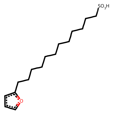 O=S(=O)(O)CCCCCCCCCCCCc1ccco1